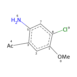 COc1cc(C(C)=O)c(N)cc1Cl